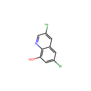 Oc1cc(Br)cc2cc([18F])cnc12